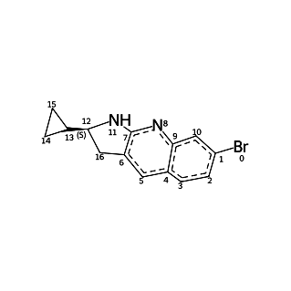 Brc1ccc2cc3c(nc2c1)N[C@H](C1CC1)C3